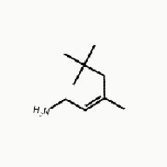 CC(=CCN)CC(C)(C)C